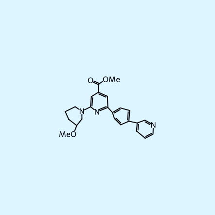 COC(=O)c1cc(-c2ccc(-c3cccnc3)cc2)nc(N2CCCC(OC)C2)c1